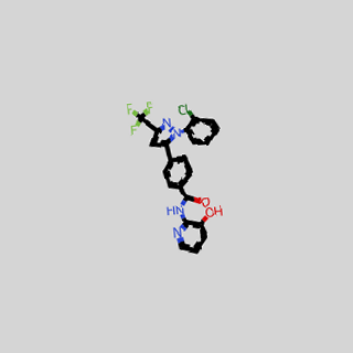 O=C(Nc1ncccc1O)c1ccc(-c2cc(C(F)(F)F)nn2-c2ccccc2Cl)cc1